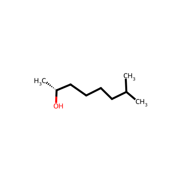 CC(C)CCCC[C@@H](C)O